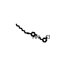 CCCCCCCCC#Cc1ccc(CNCCc2cccc(Cl)c2)cc1